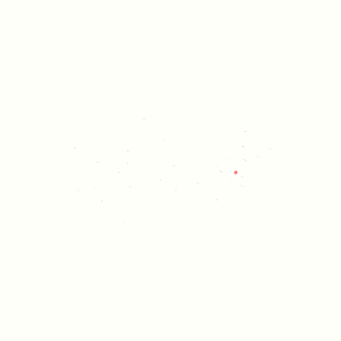 Cc1nc(C)c([C@H](OC(C)(C)C)C(=O)O)c(N2CCC(C)(C)CC2)c1-c1ccc2c(c1)CCN(c1ccnc(N3C4COCC3COC4)n1)C2